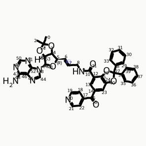 CC1(C)OC2[C@@H](/C=C/CNC(=O)c3cc(C(=O)c4ccncc4)cc4c3OC(c3ccccc3)(c3ccccc3)O4)O[C@@H](n3cnc4c(N)ncnc43)[C@H]2O1